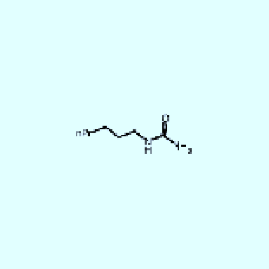 CCCCC[CH]NC(N)=O